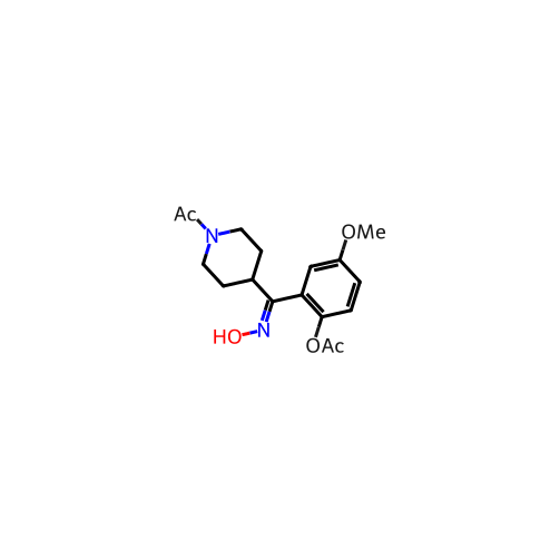 COc1ccc(OC(C)=O)c(C(=NO)C2CCN(C(C)=O)CC2)c1